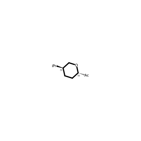 CC(=O)[C@@H]1CC[C@@H](C(C)C)CO1